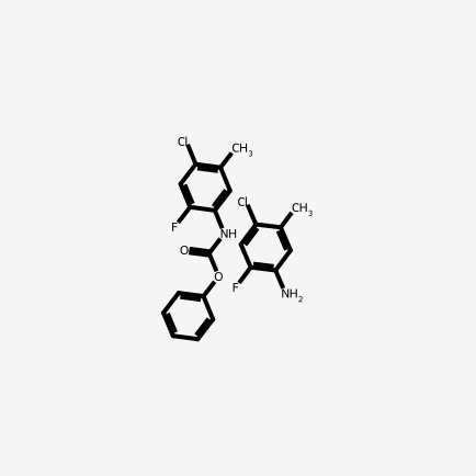 Cc1cc(N)c(F)cc1Cl.Cc1cc(NC(=O)Oc2ccccc2)c(F)cc1Cl